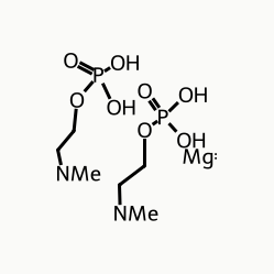 CNCCOP(=O)(O)O.CNCCOP(=O)(O)O.[Mg]